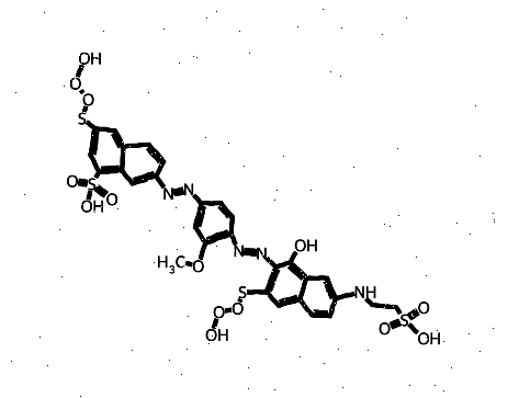 COc1cc(/N=N/c2ccc3cc(SOOO)cc(S(=O)(=O)O)c3c2)ccc1/N=N/c1c(SOOO)cc2ccc(NCCS(=O)(=O)O)cc2c1O